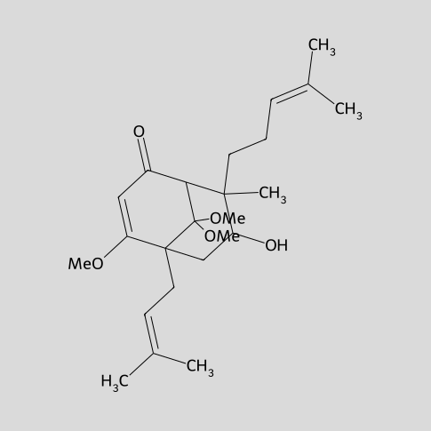 COC1=CC(=O)C2C(C)(CCC=C(C)C)C(O)CC1(CC=C(C)C)C2(OC)OC